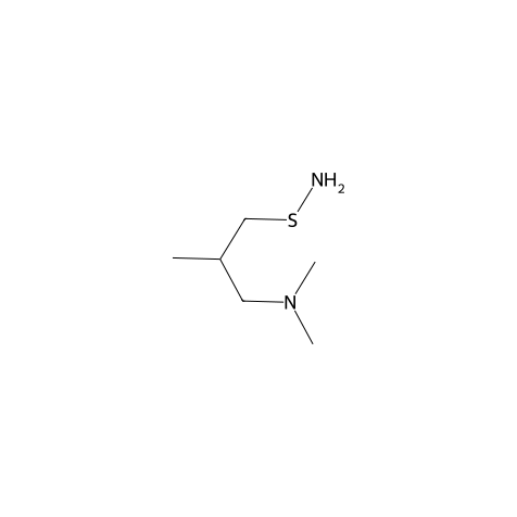 CC(CSN)CN(C)C